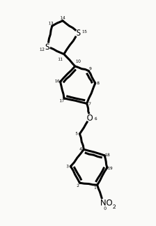 O=[N+]([O-])c1ccc(COc2ccc(C3SCCS3)cc2)cc1